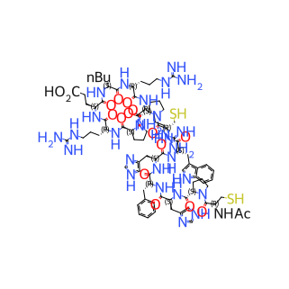 CCCC[C@H](NC(=O)[C@H](CCC(=O)O)NC(=O)[C@@H](CCCNC(=N)N)NC(=O)[C@@H]1CCCN1C(=O)[C@@H]1CCCN1C(=O)[C@H](CS)NC(=O)[C@H](Cc1c[nH]c2ccccc12)NC(=O)[C@H](Cc1c[nH]cn1)NC(=O)[C@@H](Cc1ccccc1)NC(=O)[C@H](Cc1c[nH]cn1)NC(=O)[C@@H]1CCCN1C(=O)[C@H](CS)NC(C)=O)C(=O)N[C@H](CCCNC(=N)N)C(=O)N[C@H](CCCNC(=N)N)C(N)=O